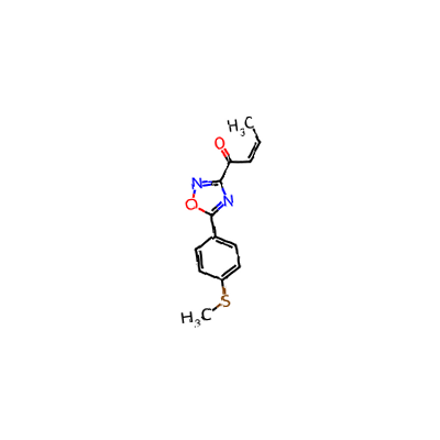 C/C=C\C(=O)c1noc(-c2ccc(SC)cc2)n1